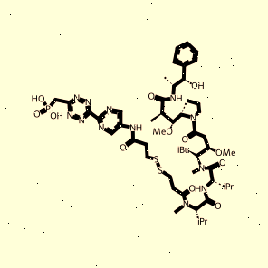 CC[C@H](C)[C@@H]([C@@H](CC(=O)N1CCC[C@H]1[C@H](OC)[C@@H](C)C(=O)N[C@H](C)[C@@H](O)c1ccccc1)OC)N(C)C(=O)[C@@H](NC(=O)[C@H](C(C)C)N(C)C(=O)CCSSCCC(=O)Nc1cnc(-c2nnc(CP(=O)(O)O)nn2)nc1)C(C)C